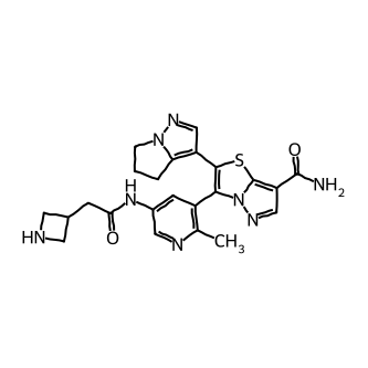 Cc1ncc(NC(=O)CC2CNC2)cc1-c1c(-c2cnn3c2CCC3)sc2c(C(N)=O)cnn12